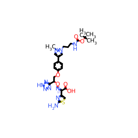 C[n+]1cc(-c2ccc(OCC(O/N=C(\C(=O)O)c3csc(N)n3)c3nn[nH]n3)cc2)cn1CCCNC(=O)OC(C)(C)C